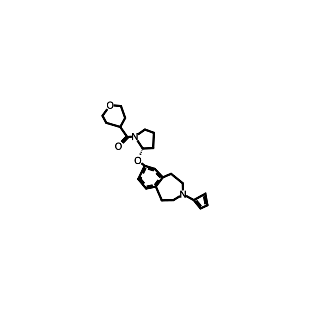 O=C(C1CCOCC1)N1CCC[C@@H]1Oc1ccc2c(c1)CCN(C1=CC=C1)CC2